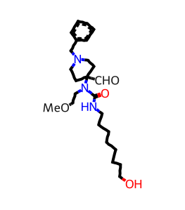 COCCN(C(=O)NCCCCCCCCO)C1(C=O)CCN(Cc2ccccc2)CC1